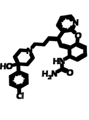 NC(=O)NC1C=CC=C2Oc3ncccc3C(=CCCN3CCC(O)(c4ccc(Cl)cc4)CC3)C=C21